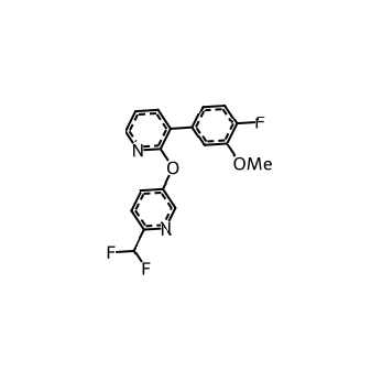 COc1cc(-c2cccnc2Oc2ccc(C(F)F)nc2)ccc1F